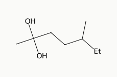 CCC(C)CCC(C)(O)O